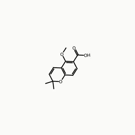 COc1c(C(=O)O)ccc2c1C=CC(C)(C)O2